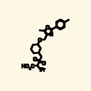 Cc1ccc(-c2nc(COC3CCCC(CS(=O)(=O)C(C(=O)O)C(C)C)C3)c(C)o2)cc1